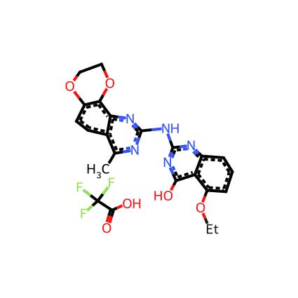 CCOc1cccc2nc(Nc3nc(C)c4ccc5c(c4n3)OCCO5)nc(O)c12.O=C(O)C(F)(F)F